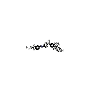 Nc1nc2ccc(/C=C/c3cnc(Nc4ccc(S(=O)(=O)N5CCNCC5)c(N)c4)nc3)cc2s1